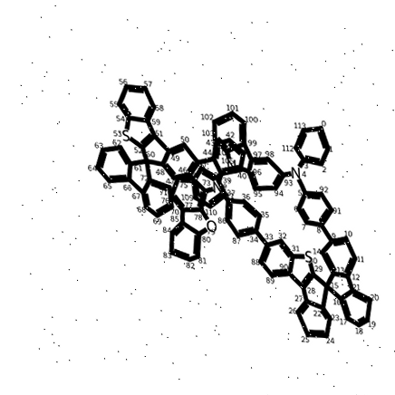 c1ccc(N(c2ccc(-c3ccc4c(c3)C3(c5ccccc5-4)c4ccccc4-c4c3sc3cc(-c5ccc(N(c6ccccc6-c6ccc7c(c6)-c6c(sc8ccccc68)C76c7ccccc7-c7ccccc76)c6cccc7c6oc6ccccc67)cc5)ccc43)cc2)c2ccc3c(c2)c2ccccc2n3-c2ccccc2)cc1